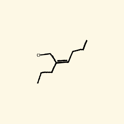 CCCC=C(CCl)CCC